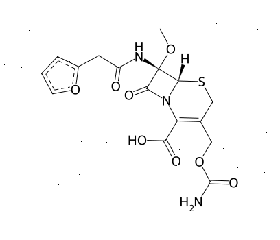 CO[C@@]1(NC(=O)Cc2ccco2)C(=O)N2C(C(=O)O)=C(COC(N)=O)CS[C@H]21